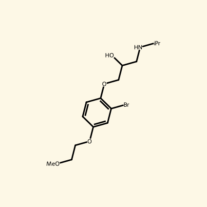 COCCOc1ccc(OCC(O)CNC(C)C)c(Br)c1